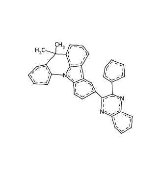 CC1(C)c2ccccc2-n2c3ccc(-c4nc5ccccc5nc4-c4ccccc4)cc3c3cccc1c32